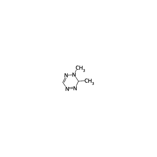 CC1N=NC=NN1C